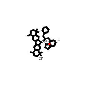 CC1=CCC(C)(C)c2cc3c(cc21)-c1cc2c(cc1[CH]3[Zr+2]([C]1=CC=CC1)=[C](Cc1ccccc1)Cc1ccccc1)C(C)(C)CC=C2C.[Cl-].[Cl-]